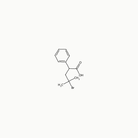 CC(C)(Br)CC(C(=O)O)c1ccccc1